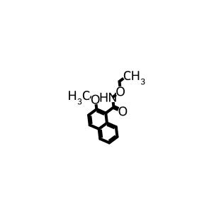 CCONC(=O)c1c(OC)ccc2ccccc12